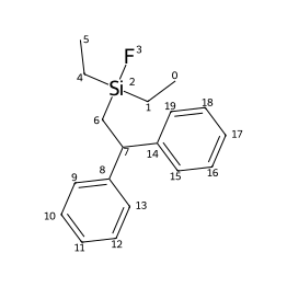 CC[Si](F)(CC)CC(c1ccccc1)c1ccccc1